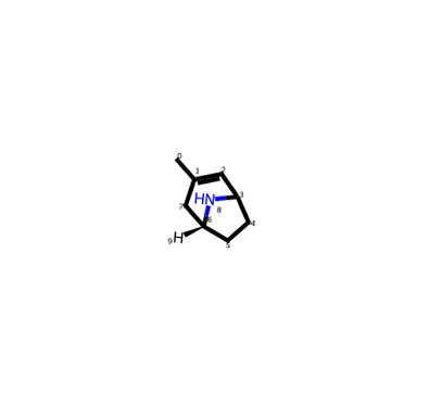 CC1=CC2CC[C@H](C1)N2